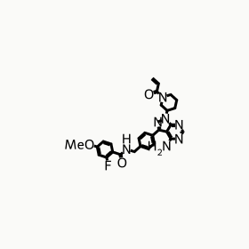 C=CC(=O)N1CCCC(n2nc(-c3ccc(CNC(=O)c4ccc(OC)cc4F)cc3)c3c(N)ncnc32)C1